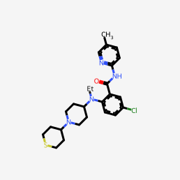 CCN(c1ccc(Cl)cc1C(=O)Nc1ccc(C)cn1)C1CCN(C2CCSCC2)CC1